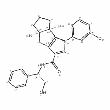 O=C(N[C@H](CO)c1ccccc1)c1nn(-c2c[n+]([O-])ccn2)c2c1C[C@H]1CCC[C@@H]21